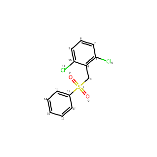 O=S(=O)(Cc1c(Cl)cccc1Cl)c1ccccc1